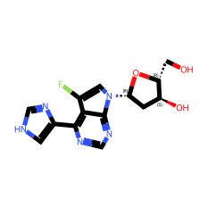 OC[C@H]1O[C@@H](n2cc(F)c3c(-c4c[nH]cn4)ncnc32)C[C@@H]1O